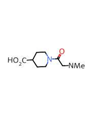 CNCC(=O)N1CCC(C(=O)O)CC1